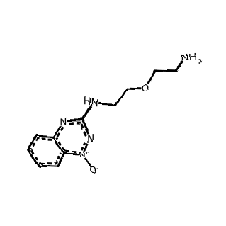 NCCOCCNc1nc2ccccc2[n+]([O-])n1